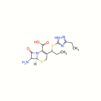 CCc1n[nH]c(SC(CC)C2=C(C(=O)O)N3C(=O)C(N)[C@@H]3SC2)n1